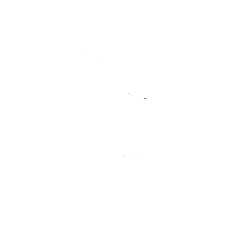 C[C@H](NC(=O)c1ccc(Cl)cc1)c1ccc2c(n1)OCCN2C(=O)c1cccc(Cl)c1